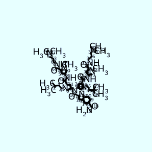 CC(C)CCn1cc(N(C(=O)c2cc3cc(C(N)=O)ccc3[nH]2)c2cc(C(=O)Nc3cc(C(=O)NCCCN(C)C)n(C)c3)n(CCC(C)C)c2)cc1C(=O)Nc1cc(C(=O)NCCCN(C)C)n(C)c1